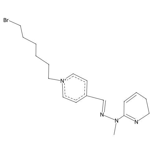 CN(/N=C/c1cc[n+](CCCCCCBr)cc1)C1=NCCC=C1